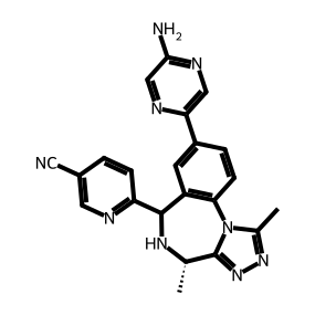 Cc1nnc2n1-c1ccc(-c3cnc(N)cn3)cc1C(c1ccc(C#N)cn1)N[C@H]2C